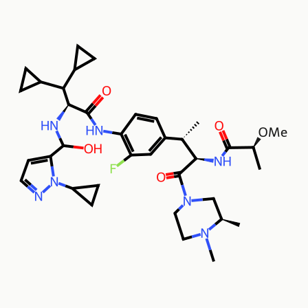 CO[C@@H](C)C(=O)N[C@@H](C(=O)N1CCN(C)[C@H](C)C1)[C@@H](C)c1ccc(NC(=O)[C@@H](NC(O)c2ccnn2C2CC2)C(C2CC2)C2CC2)c(F)c1